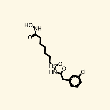 O=C(CCCCCC[SH]1NC(Cc2cccc(Cl)c2)OO1)NO